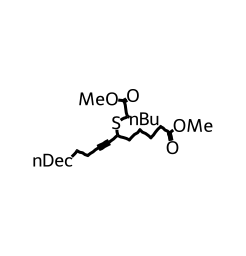 CCCCCCCCCCCCC#CC(CCCCC(=O)OC)SC(CCCC)C(=O)OC